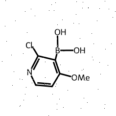 COc1ccnc(Cl)c1B(O)O